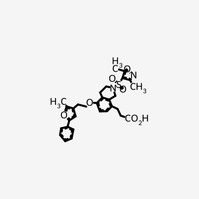 Cc1noc(C)c1S(=O)(=O)N1CCc2c(OCCc3cc(-c4ccccc4)oc3C)ccc(CCC(=O)O)c2C1